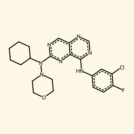 Fc1ccc(Nc2ncnc3cnc(N(C4CCCCC4)N4CCOCC4)nc23)cc1Cl